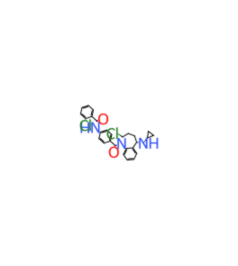 O=C(Nc1ccc(C(=O)N2c3ccccc3C(NC3CC3)CCC2Cl)cc1)c1ccccc1Cl